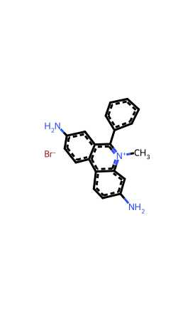 C[n+]1c(-c2ccccc2)c2cc(N)ccc2c2ccc(N)cc21.[Br-]